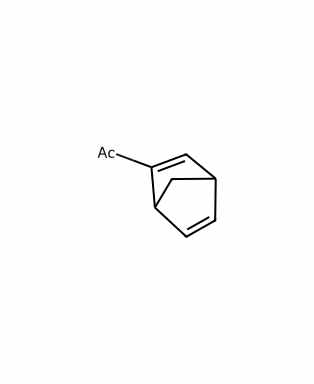 CC(=O)C1=CC2C=CC1C2